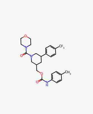 Cc1ccc(NC(=O)OCC2CC(c3ccc(C(F)(F)F)cc3)CN(C(=O)N3CCOCC3)C2)cc1